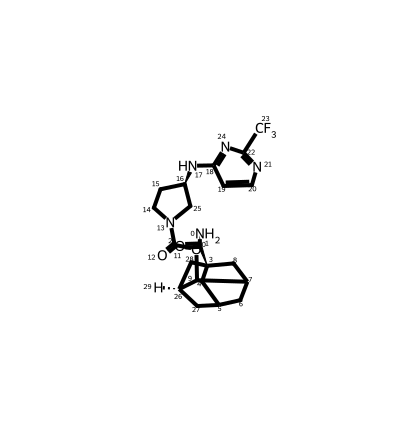 NC(=O)[C@]12CC3CC(C1)C(OC(=O)N1CC[C@@H](Nc4ccnc(C(F)(F)F)n4)C1)[C@@H](C3)C2